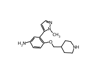 Cn1nccc1-c1cc(N)ccc1OCC1CCNCC1